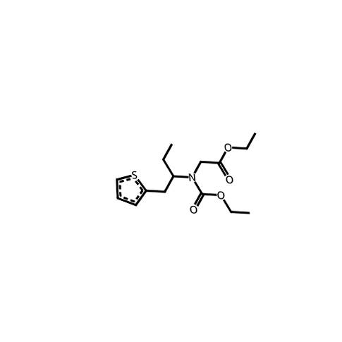 CCOC(=O)CN(C(=O)OCC)C(CC)Cc1cccs1